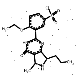 CCCC1NC(C)c2c1nc(-c1cc(S(=O)(=O)Cl)ccc1OCC)[nH]c2=O